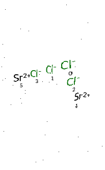 [Cl-].[Cl-].[Cl-].[Cl-].[Sr+2].[Sr+2]